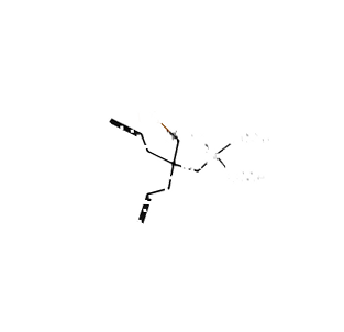 C=CCC(CS)(CC=C)C[Si](OC)(OC)OC